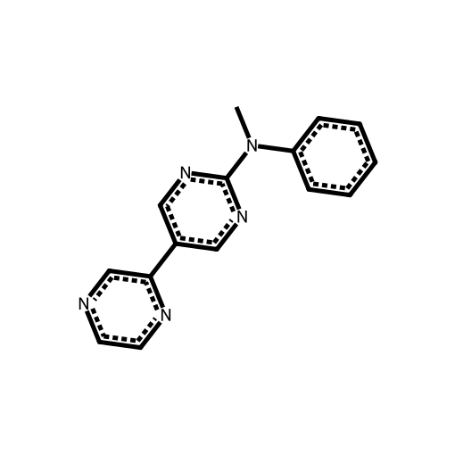 CN(c1ccccc1)c1ncc(-c2cnccn2)cn1